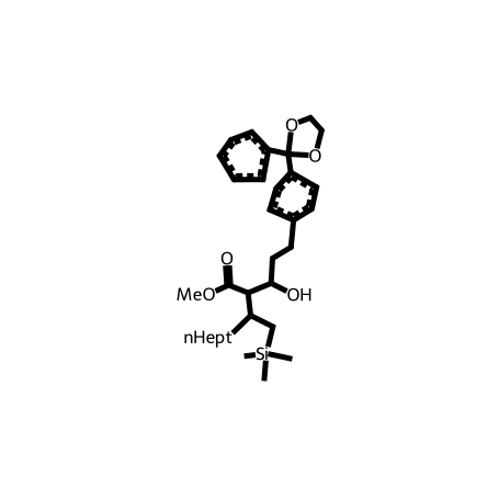 CCCCCCCC(C[Si](C)(C)C)C(C(=O)OC)C(O)CCc1ccc(C2(c3ccccc3)OCCO2)cc1